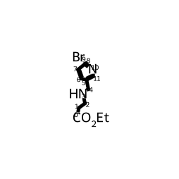 CCOC(=O)CCNCc1ccc(Br)nc1